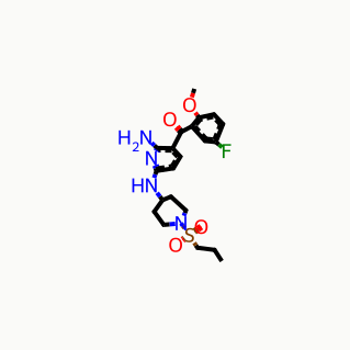 CCCS(=O)(=O)N1CCC(Nc2ccc(C(=O)c3cc(F)ccc3OC)c(N)n2)CC1